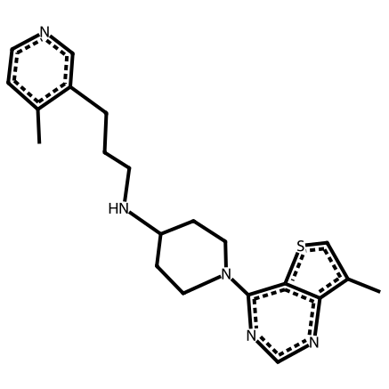 Cc1ccncc1CCCNC1CCN(c2ncnc3c(C)csc23)CC1